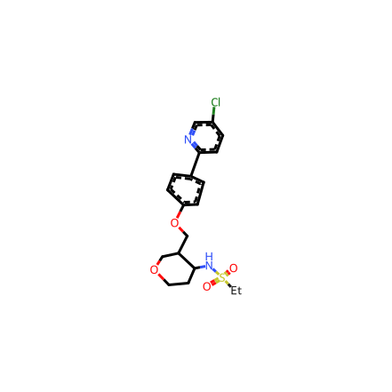 CCS(=O)(=O)NC1CCOCC1COc1ccc(-c2ccc(Cl)cn2)cc1